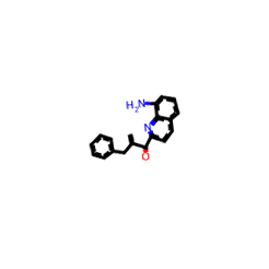 C=C(Cc1ccccc1)C(=O)c1ccc2cccc(N)c2n1